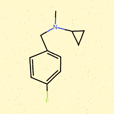 CN(Cc1ccc(F)cc1)C1CC1